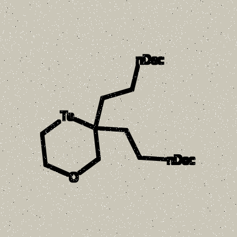 CCCCCCCCCCCCC1(CCCCCCCCCCCC)COCC[Te]1